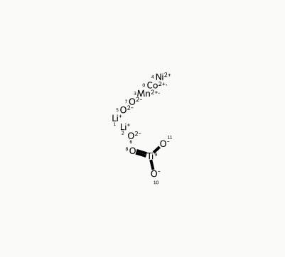 [Co+2].[Li+].[Li+].[Mn+2].[Ni+2].[O-2].[O-2].[O-2].[O]=[Ti]([O-])[O-]